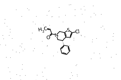 C=CC(=O)N1Cc2sc(Cl)cc2[C@H](c2ccccc2)C1